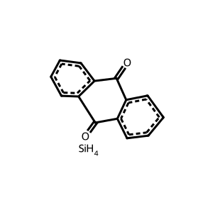 O=C1c2ccccc2C(=O)c2ccccc21.[SiH4]